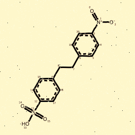 O=[N+]([O-])c1ccc(CCc2ccc(S(=O)(=O)O)cc2)cc1